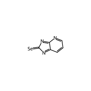 [Se]=C1N=c2cccnc2=N1